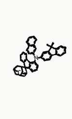 CC1(C)c2ccccc2-c2ccc(N(c3ccc4ccccc4c3)c3cccc4c3-c3ccccc3C43C4CCC5CC(C4)CC3C5)cc21